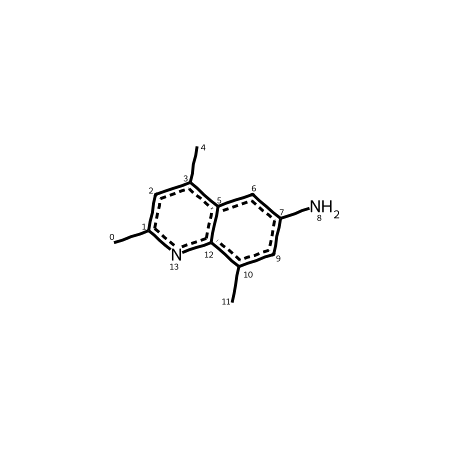 Cc1cc(C)c2cc(N)cc(C)c2n1